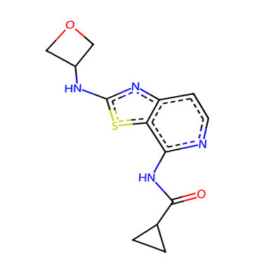 O=C(Nc1nccc2nc(NC3COC3)sc12)C1CC1